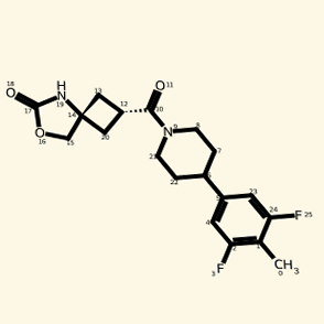 Cc1c(F)cc(C2CCN(C(=O)[C@H]3C[C@]4(COC(=O)N4)C3)CC2)cc1F